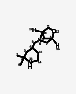 CC1(C)CC(CN2C[C@@H]3C[C@H]2CO3)CCN1